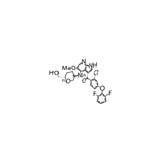 COc1cnc2[nH]cc(C(=O)c3ccc(Oc4c(F)cccc4F)cc3Cl)c2c1N[C@@H]1CC[C@@H](CO)OC1